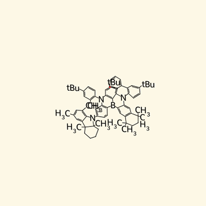 Cc1cc(C)c2c(c1)C1(C)CCCCC1(C)N2c1ccc2c(c1)N(c1ccc(C(C)(C)C)cc1C)c1cc(C(C)(C)C)cc3c1B2c1cc2c(cc1N3c1ccc(C(C)(C)C)cc1-c1ccccc1)C(C)(C)CCC2(C)C